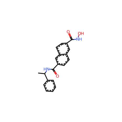 CC(NC(=O)c1ccc2cc(C(=O)NO)ccc2c1)c1ccccc1